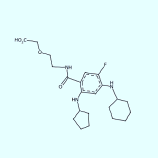 O=C(O)COCCNC(=O)c1cc(F)c(NC2CCCCC2)cc1NC1CCCC1